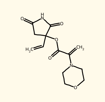 C=CC1(OC(=O)C(=C)N2CCOCC2)CC(=O)NC1=O